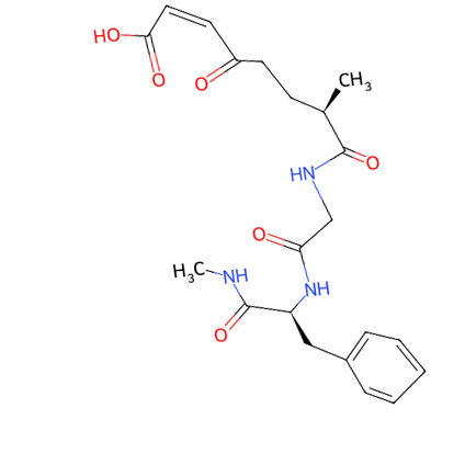 CNC(=O)[C@H](Cc1ccccc1)NC(=O)CNC(=O)[C@H](C)CCC(=O)/C=C\C(=O)O